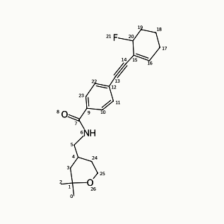 CC1(C)CC(CNC(=O)c2ccc(C#CC3=CCCCC3F)cc2)CCO1